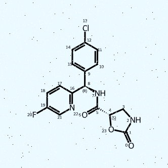 O=C1NC[C@@H](C(=O)N[C@H](c2ccc(Cl)cc2)c2ccc(F)cn2)O1